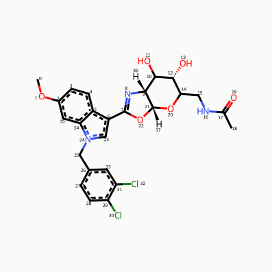 COc1ccc2c(C3=N[C@@H]4C(O)[C@H](O)C(CNC(C)=O)O[C@@H]4O3)cn(Cc3ccc(Cl)c(Cl)c3)c2c1